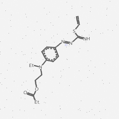 C=CSC(=N)/N=N/c1ccc(N(CC)CCOC(=O)CC)cc1